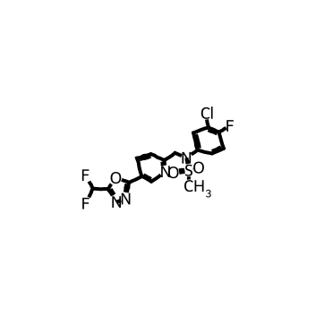 CS(=O)(=O)N(Cc1ccc(-c2nnc(C(F)F)o2)cn1)c1ccc(F)c(Cl)c1